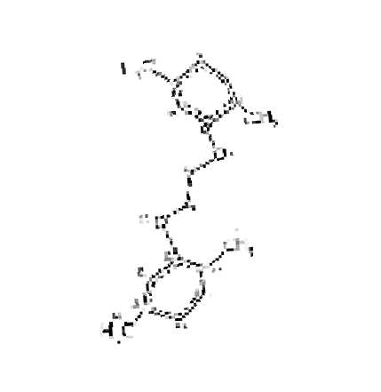 Cc1ccc(C)c(OCCOc2cc(C)ccc2C)c1